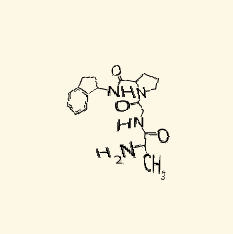 CC(N)C(=O)NCC(=O)N1CCCC1C(=O)NC1CCc2ccccc21